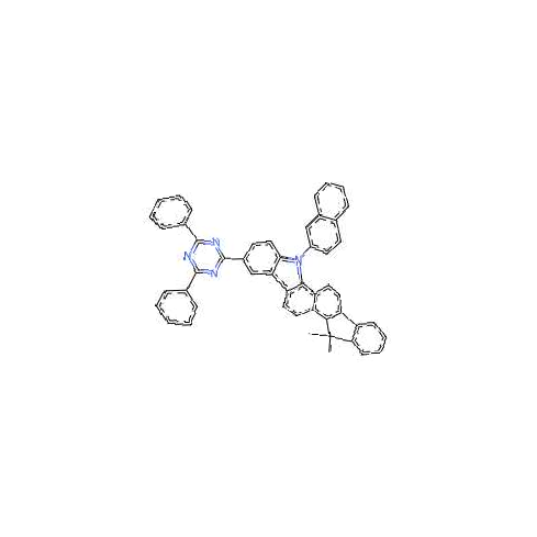 CC1(C)c2ccccc2-c2ccc3c(ccc4c5cc(-c6nc(-c7ccccc7)nc(-c7ccccc7)n6)ccc5n(-c5ccc6ccccc6c5)c34)c21